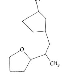 CC(C)C1CCC(CC(C)C2CCCO2)C1